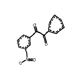 O=C(C(=O)c1cccc([N+](=O)[O-])c1)c1ccccc1